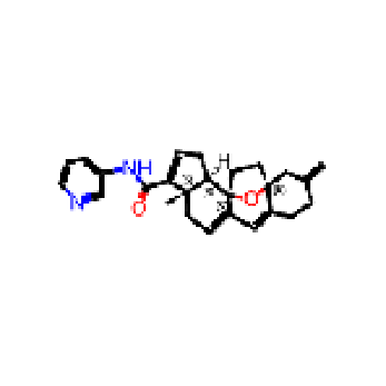 C=C1CCC2=CC3=CC[C@]4(C)C(C(=O)Nc5cccnc5)=CC[C@H]4[C@@]34CC[C@]2(C1)O4